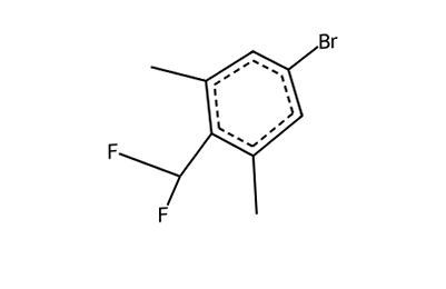 Cc1cc(Br)cc(C)c1C(F)F